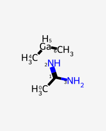 CC(=N)N.[CH3][GaH][CH3]